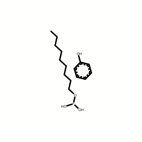 CCCCCCCCCOP(O)O.Oc1ccccc1